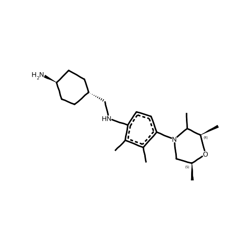 Cc1c(NC[C@H]2CC[C@H](N)CC2)ccc(N2C[C@H](C)O[C@H](C)C2C)c1C